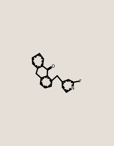 O=C1c2ccccc2Cc2cccc(Cc3ccnc(F)c3)c21